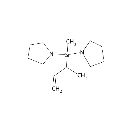 C=CC(C)[Si](C)(N1CCCC1)N1CCCC1